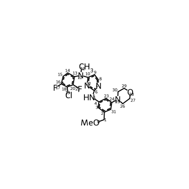 COCc1cc(Nc2nccc(N(C)c3ccc(F)c(Cl)c3F)n2)cc(N2CCOCC2)c1